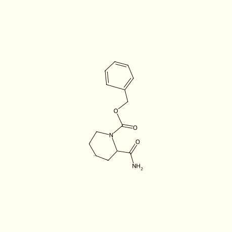 NC(=O)C1C[CH]CCN1C(=O)OCc1ccccc1